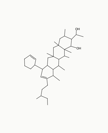 CCC(C)CCC1=CC(C2C=CCCC2)C2CC3(C)CC4(C)CC(C)C(C(C)O)C(O)C4(C)C(C)C3C(C)C2C1C